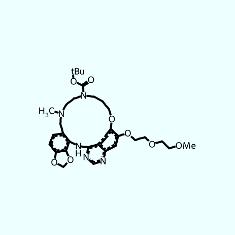 COCCOCCOc1cc2ncnc3c2cc1OCCCN(C(=O)OC(C)(C)C)CCN(C)Cc1ccc2c(c1N3)OCO2